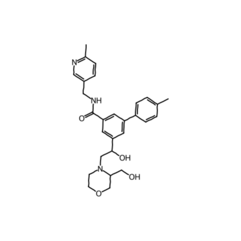 Cc1ccc(-c2cc(C(=O)NCc3ccc(C)nc3)cc(C(O)CN3CCOCC3CO)c2)cc1